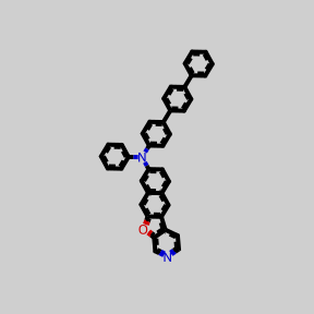 c1ccc(-c2ccc(-c3ccc(N(c4ccccc4)c4ccc5cc6c(cc5c4)oc4cnccc46)cc3)cc2)cc1